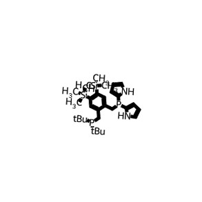 CC(C)(C)P(Cc1cc([Si](C)(C)C)c([Si](C)(C)C)cc1CP(c1ccc[nH]1)c1ccc[nH]1)C(C)(C)C